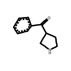 O=C(c1ccccc1)C1CCNC1